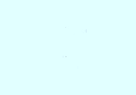 CCc1oc(I)cc1C(=O)O